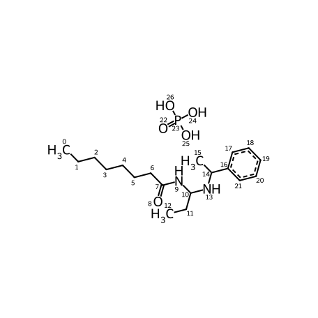 CCCCCCCC(=O)NC(CC)NC(C)c1ccccc1.O=P(O)(O)O